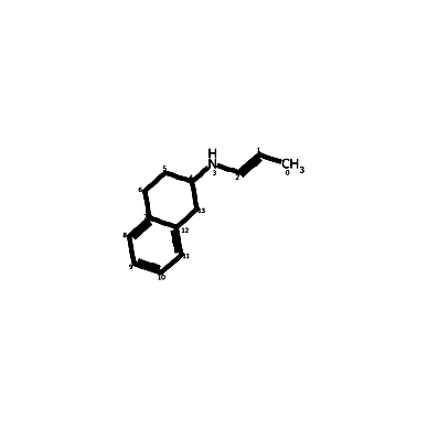 CC=CNC1CCc2ccccc2C1